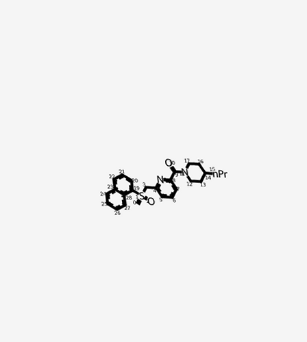 C=S(=O)(Cc1cccc(C(=O)N2CCC(CCC)CC2)n1)c1cccc2ccccc12